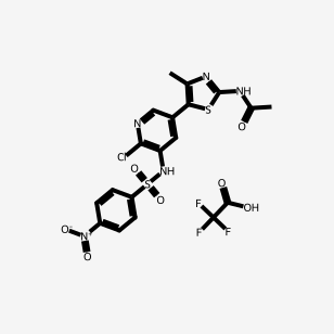 CC(=O)Nc1nc(C)c(-c2cnc(Cl)c(NS(=O)(=O)c3ccc([N+](=O)[O-])cc3)c2)s1.O=C(O)C(F)(F)F